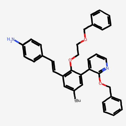 CC(C)(C)c1cc(C=Cc2ccc(N)cc2)c(OCCOCc2ccccc2)c(-c2cccnc2OCc2ccccc2)c1